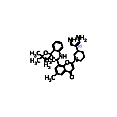 Cc1cc(C(C)Nc2ccccc2C(=O)OC(C)(C)C)c2oc(N3CCCC(/C(C=N)=C/N)C3)cc(=O)c2c1